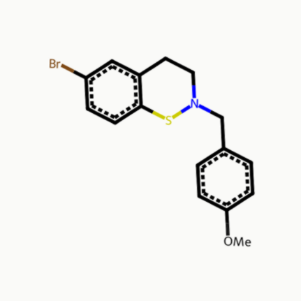 COc1ccc(CN2CCc3cc(Br)ccc3S2)cc1